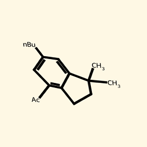 CCCCc1cc(C(C)=O)c2c(c1)C(C)(C)CC2